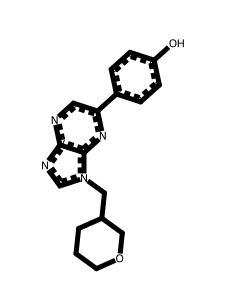 Oc1ccc(-c2cnc3ncn(CC4CCCOC4)c3n2)cc1